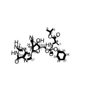 CC(C)OC(=O)[C@@H](C)N[P@@](=O)(OC[C@H]1O[C@@H](n2cnc3c(=O)[nH]c(N)nc32)[C@](C)(C#N)[C@@H]1O)Oc1ccccc1